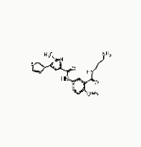 COc1ccc(NC(=O)c2cc(C3C=CSC3)n(C)n2)cc1C(=O)NCCCN